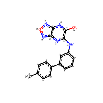 Cc1ccc(-c2cccc(Nc3nc4nonc4nc3O)c2)cc1